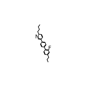 CCCCc1ccc(-c2ccc(-c3ccc(CCC)cc3F)cc2)cn1